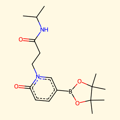 CC(C)NC(=O)CCn1cc(B2OC(C)(C)C(C)(C)O2)ccc1=O